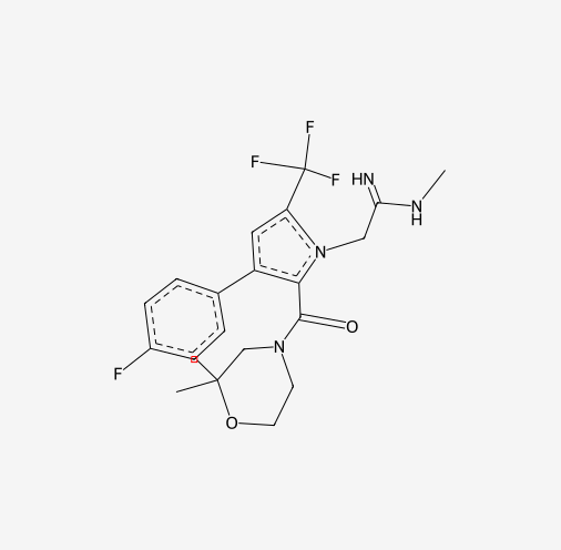 CNC(=N)Cn1c(C(F)(F)F)cc(-c2ccc(F)cc2)c1C(=O)N1CCOC(C)(C)C1